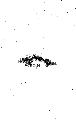 CC(=O)[C@H](CC(=O)O)NC(=O)[C@@H](NC(=O)CC[C@H](NC(=O)c1ccc(NCC2=NC3C(=O)NC(N)=NC3N=C2)cc1)C(=O)O)[C@@H](O)[C@H](O)[C@H](O)CO